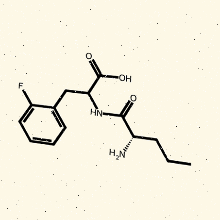 CCC[C@H](N)C(=O)NC(Cc1ccccc1F)C(=O)O